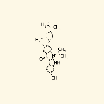 CCc1cc2c(=O)c3c4ccc(C)cc4[nH]c3n(C(C)C)c2cc1N1CCN(C(C)C)CC1